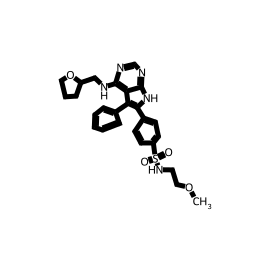 COCCNS(=O)(=O)c1ccc(-c2[nH]c3ncnc(NCC4CCCO4)c3c2-c2ccccc2)cc1